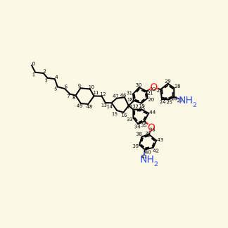 CCCCCCCCC1CCC(CCC2CCC(c3ccc(Oc4ccc(N)cc4)cc3)(c3ccc(Oc4ccc(N)cc4)cc3)CC2)CC1